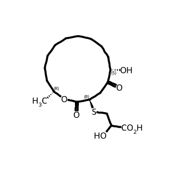 C[C@@H]1CCCCCCCCC[C@H](O)C(=O)C[C@@H](SCC(O)C(=O)O)C(=O)O1